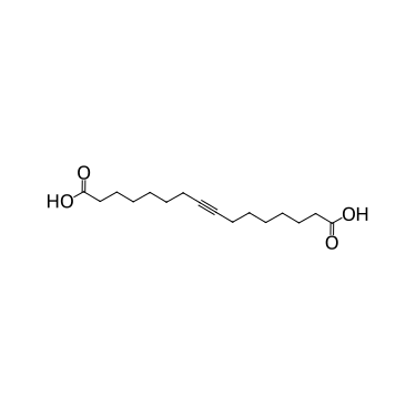 O=C(O)CCCCCCC#CCCCCCCC(=O)O